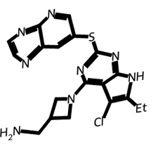 CCc1[nH]c2nc(Sc3cnc4nccnc4c3)nc(N3CC(CN)C3)c2c1Cl